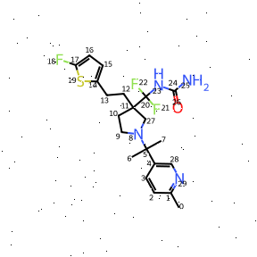 Cc1ccc(C(C)(C)N2CCC(CCc3ccc(F)s3)(C(F)(F)NC(N)=O)C2)cn1